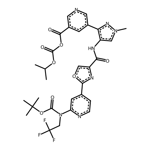 CC(C)OC(=O)OC(=O)c1cncc(-c2nn(C)cc2NC(=O)c2coc(-c3ccnc(N(CC(F)(F)F)C(=O)OC(C)(C)C)c3)n2)c1